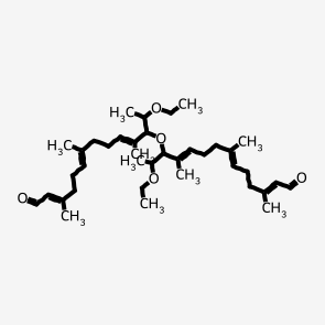 CCOC(C)C(OC(C(C)=CCCC(C)=CCCC(C)=CC=O)C(C)OCC)C(C)=CCCC(C)=CCCC(C)=CC=O